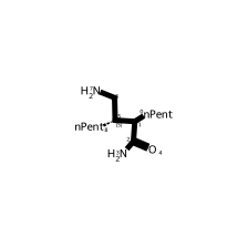 CCCCCC(C(N)=O)[C@@H](CN)CCCCC